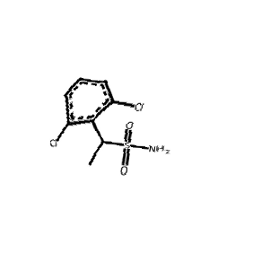 CC(c1c(Cl)cccc1Cl)S(N)(=O)=O